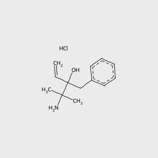 C=CC(O)(Cc1ccccc1)C(C)(C)N.Cl